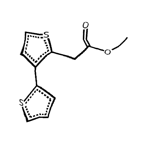 COC(=O)Cc1sccc1-c1cccs1